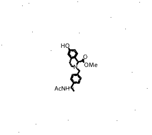 COC(=O)C1c2ccc(O)cc2CCN1Cc1ccc([C@H](C)NC(C)=O)cc1